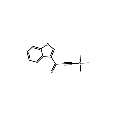 C[Si](C)(C)C#CC(=O)c1csc2ccccc12